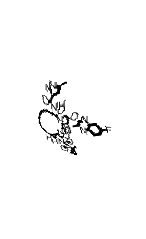 Cc1nc2ccc(F)cc2nc1O[C@@H]1C[C@H]2C(=O)N[C@]3(C(=O)NS(=O)(=O)C4(C)CC4)C[C@H]3/C=C\CCCCC[C@H](NC(=O)c3cc(C)n(C)n3)C(=O)N2C1